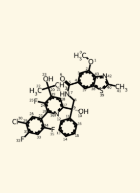 COc1cc(C(=O)NC[C@@](O)(c2ccccc2)c2cc(C(C)(C)O)c(F)c(-c3cc(Cl)c(F)cc3F)n2)cc2sc(C)nc12